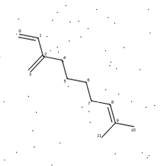 [CH]=CC(=C)CCCCC=C(C)C